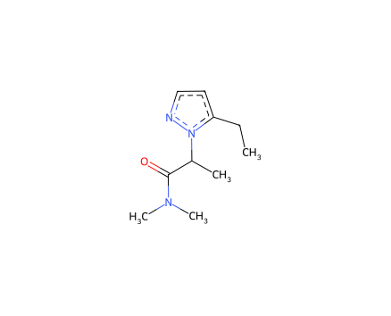 CCc1ccnn1C(C)C(=O)N(C)C